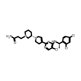 C[C@@H](Nc1nc(C2=CCN([C@H]3CCCN(CCC(N)=O)C3)CC2)ncc1Cl)c1ccc(Cl)cc1Cl